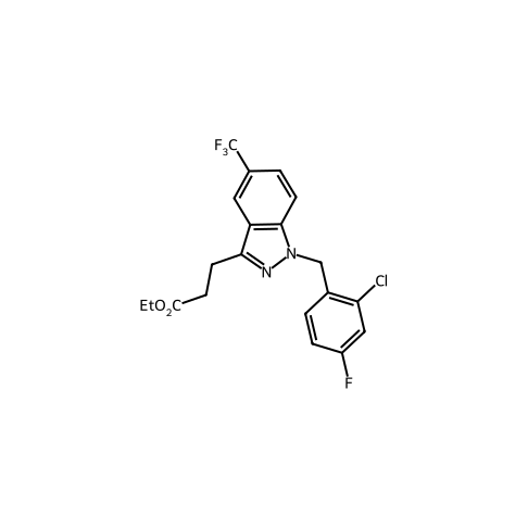 CCOC(=O)CCc1nn(Cc2ccc(F)cc2Cl)c2ccc(C(F)(F)F)cc12